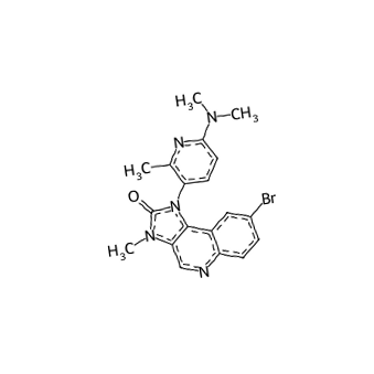 Cc1nc(N(C)C)ccc1-n1c(=O)n(C)c2cnc3ccc(Br)cc3c21